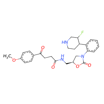 COc1ccc(C(=O)CCC(=O)NC[C@H]2CN(c3ccccc3C3CCNCC3F)C(=O)O2)cc1